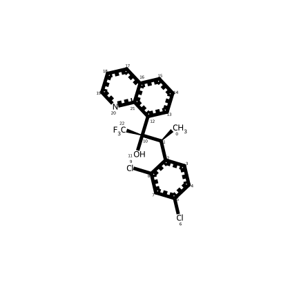 C[C@@H](c1ccc(Cl)cc1Cl)[C@](O)(c1cccc2cccnc12)C(F)(F)F